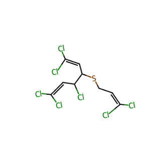 ClC(Cl)=CCSC(C=C(Cl)Cl)C(Cl)C=C(Cl)Cl